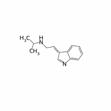 CC(C)NCC=C1C=Nc2ccccc21